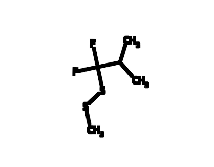 CSSC(F)(F)C(C)C